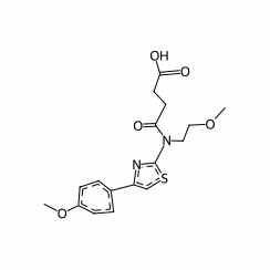 COCCN(C(=O)CCC(=O)O)c1nc(-c2ccc(OC)cc2)cs1